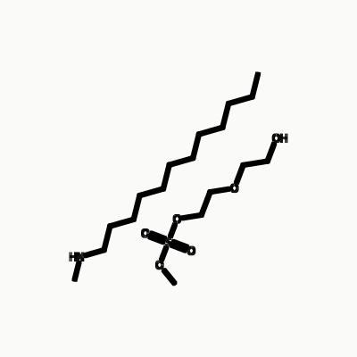 CCCCCCCCCCCCNC.COS(=O)(=O)OCCOCCO